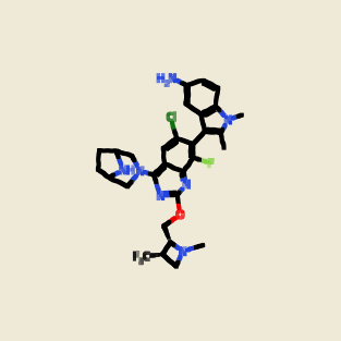 Cc1c(-c2c(Cl)cc3c(N4CC5CCC(C4)N5)nc(OC[C@@H]4[C@H](C(F)(F)F)CN4C)nc3c2F)c2cc(N)ccc2n1C